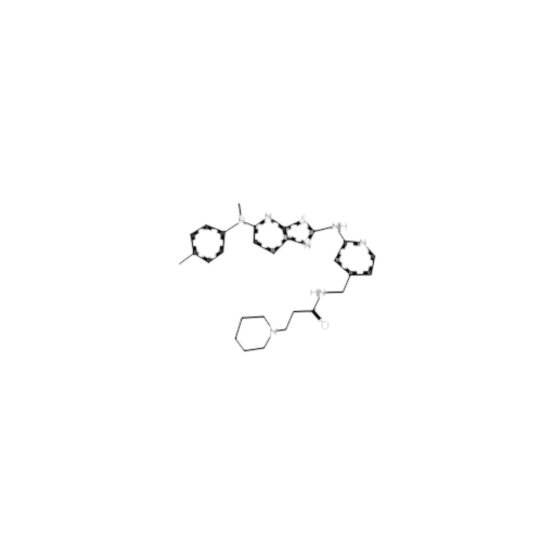 Cc1ccc(N(C)c2ccc3nc(Nc4cc(CNC(=O)CCN5CCCCC5)ccn4)sc3n2)cc1